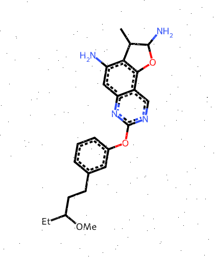 CCC(CCc1cccc(Oc2ncc3c4c(c(N)cc3n2)C(C)C(N)O4)c1)OC